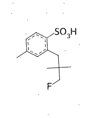 Cc1ccc(S(=O)(=O)O)c(CC(C)(C)CF)c1